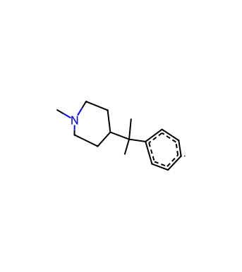 CN1CCC(C(C)(C)c2cc[c]cc2)CC1